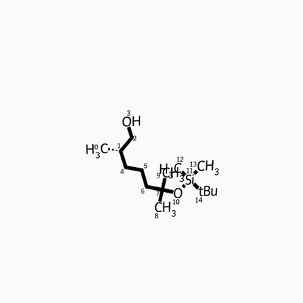 C[C@H](CO)CCCC(C)(C)O[Si](C)(C)C(C)(C)C